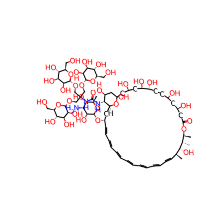 C[C@@H]1[C@H](O)[C@@H](C)/C=C/C=C/C=C/C=C/C=C/C=C/C=C/[C@H](O[C@@H]2O[C@H](C)[C@@H](O)[C@H](N)[C@@H]2O)C[C@@H]2O[C@](O)(C[C@@H](O)C[C@@H](O)[C@H](O)CC[C@@H](O)C[C@@H](O)CC(=O)O[C@H]1C)C[C@H](O)[C@H]2NC(=O)NC(CO[C@H]1O[C@H](CO)[C@@H](O)[C@H](O)[C@@H]1O)(CO[C@H]1O[C@H](CO)[C@@H](O)[C@H](O)[C@@H]1O)CO[C@H]1O[C@H](CO)[C@@H](O)[C@H](O)[C@@H]1O